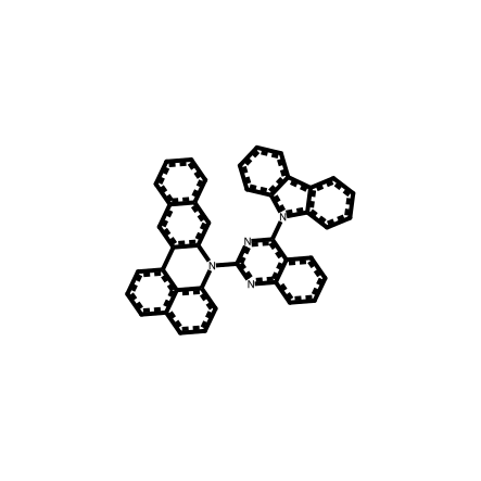 c1ccc2cc3c(cc2c1)-c1cccc2cccc(c12)N3c1nc(-n2c3ccccc3c3ccccc32)c2ccccc2n1